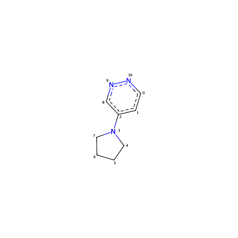 c1cc(N2CCCC2)cnn1